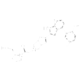 COc1ccc(F)cc1-c1ccnc2[nH]c(C3=CC4CN(CC(=O)N5CCC[C@H]5CO)CC4C3)cc12